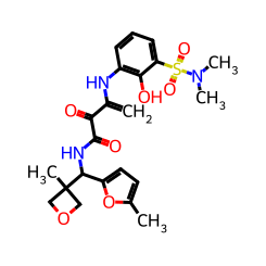 C=C(Nc1cccc(S(=O)(=O)N(C)C)c1O)C(=O)C(=O)NC(c1ccc(C)o1)C1(C)COC1